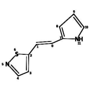 C(=Cc1ccns1)c1ccc[nH]1